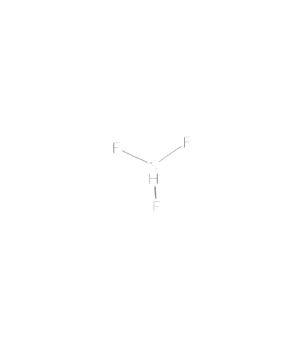 F[SH](F)F